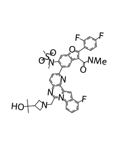 CNC(=O)c1c(-c2ccc(F)cc2F)oc2cc(N(C)S(C)(=O)=O)c(-c3ccc4nc(CN5CC(C(C)(C)O)C5)n5c6cccc(F)c6cc5c4n3)cc12